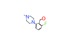 CN1CCN(c2cccc(F)c2C=O)CC1